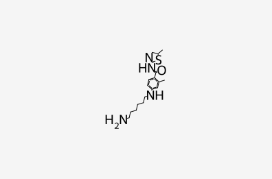 Cc1cc(NCCCCCCN)ccc1C(=O)NC1=NCC(C)S1